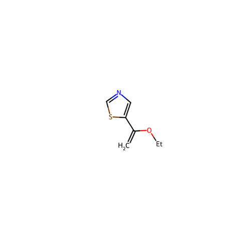 C=C(OCC)c1cncs1